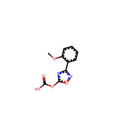 COc1ccccc1-c1noc(OC(=O)O)n1